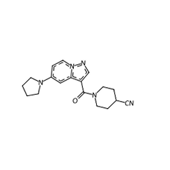 N#CC1CCN(C(=O)c2cnn3ccc(N4CCCC4)cc23)CC1